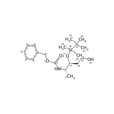 C[C@H](NC(=O)OCc1ccccc1)[C@H](CCO)O[Si](C)(C)C(C)(C)C